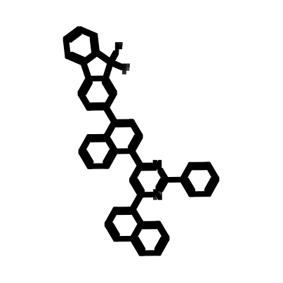 FC1(F)c2ccccc2-c2ccc(-c3ccc(-c4cc(-c5cccc6ccccc56)nc(-c5ccccc5)n4)c4ccccc34)cc21